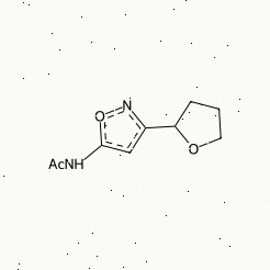 CC(=O)Nc1cc(C2CCCO2)no1